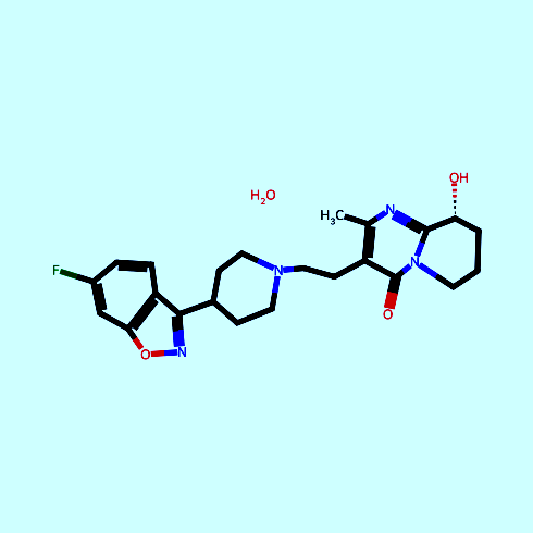 Cc1nc2n(c(=O)c1CCN1CCC(c3noc4cc(F)ccc34)CC1)CCC[C@H]2O.O